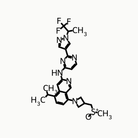 CC(C)c1ccc(N2CC(C[S+](C)[O-])C2)c2cnc(Nc3ccnc(-c4cnn(C(C)C(F)(F)F)c4)n3)cc12